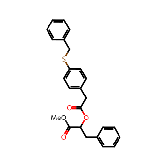 COC(=O)C(Cc1ccccc1)OC(=O)Cc1ccc(SCc2ccccc2)cc1